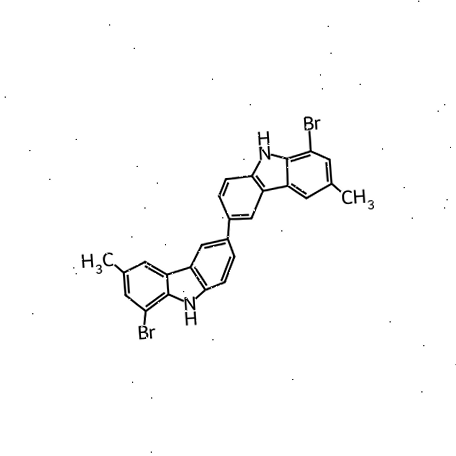 Cc1cc(Br)c2[nH]c3ccc(-c4ccc5[nH]c6c(Br)cc(C)cc6c5c4)cc3c2c1